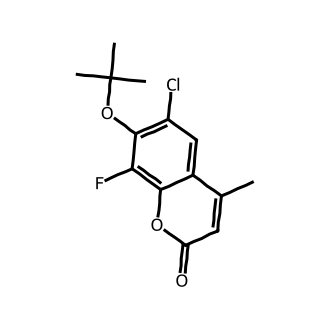 Cc1cc(=O)oc2c(F)c(OC(C)(C)C)c(Cl)cc12